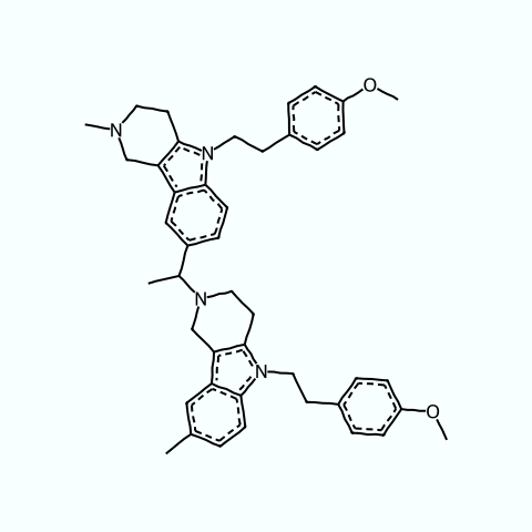 COc1ccc(CCn2c3c(c4cc(C(C)N5CCc6c(c7cc(C)ccc7n6CCc6ccc(OC)cc6)C5)ccc42)CN(C)CC3)cc1